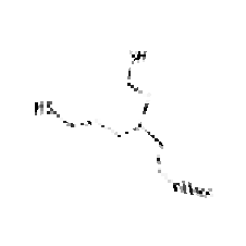 CCCCCCCCC(CCS)CCCS